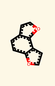 c1cc2c(ccc3ccoc32)o1